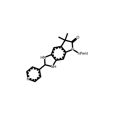 CCCCCN1C(=O)C(C)(C)c2cc3c(cc21)NC(c1ccncc1)N3